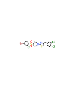 O=S(=O)(c1ccc(Br)cc1Cl)C1CCN(c2nc(Cc3ccc(Cl)c(Cl)c3)cs2)CC1